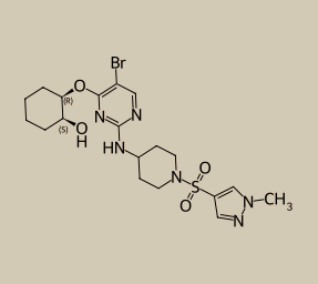 Cn1cc(S(=O)(=O)N2CCC(Nc3ncc(Br)c(O[C@@H]4CCCC[C@@H]4O)n3)CC2)cn1